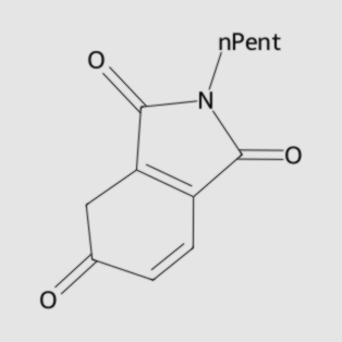 CCCCCN1C(=O)C2=C(CC(=O)C=C2)C1=O